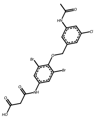 CC(=O)Nc1cc(Cl)cc(COc2c(Br)cc(NC(=O)CC(=O)O)cc2Br)c1